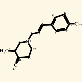 CC1CN(C/C=C/c2ccc(Cl)cc2)CCC1=O